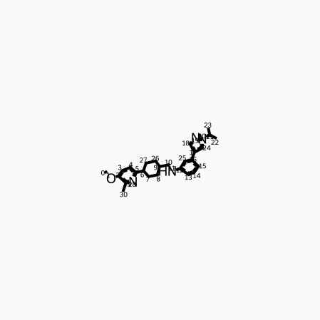 COc1ccc(C2CCC(CNc3cccc(-c4cnn(C(C)C)c4)c3)CC2)nc1C